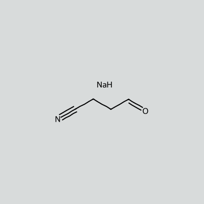 N#CCCC=O.[NaH]